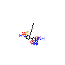 CCCCCCCCc1c(C2CC(=O)[C@]3(CNCCN3C(=O)NC)C2=O)ccc(NO)c1SC